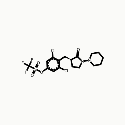 O=C1[C@H](Cc2c(Cl)cc(OS(=O)(=O)C(F)(F)F)cc2Cl)CCN1N1CCCCC1